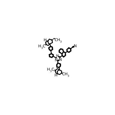 CC[C@@H]1C[C@@H]2C[C@H](C)CC(c3ccc(-c4cccc(-c5nc(-c6ccc(C78C[C@H](C)C[C@H](C[C@H](C)C7)C8)cc6)nc(-c6ccc(-c7ccc(C#N)cc7)c7ccccc67)n5)c4)cc3)(C1)C2